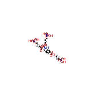 O=C(NC(Cc1ccc(OC(=O)OCCCCON(O)O)cc1)C(=O)OCCCCON(O)O)OCCCCON(O)O